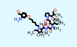 CCC(C)C(C(CC(=O)N1CCCC1C(OC)C(C)C=O)OC)N(C)C(=O)CNC(=O)C1C(C)[C@H](C)C(CC)N1CCCCCCOc1ccc(C=O)c(N)c1